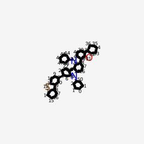 c1ccc(-n2c3cc(-c4ccc5sc6ccccc6c5c4)ccc3c3c2ccc2c4c5oc6ccccc6c5ccc4n(-c4ccccc4)c23)cc1